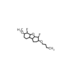 CCCCOC1CCC2C3CCC(OC)C(F)C3OC2C1F